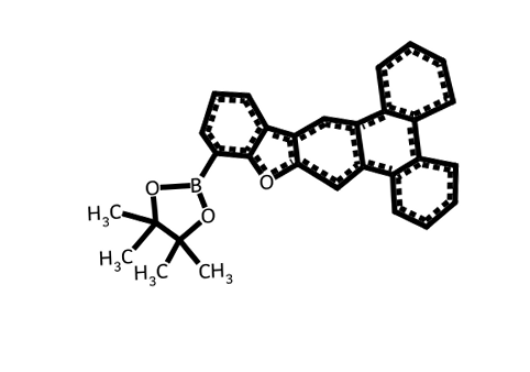 CC1(C)OB(c2cccc3c2oc2cc4c5ccccc5c5ccccc5c4cc23)OC1(C)C